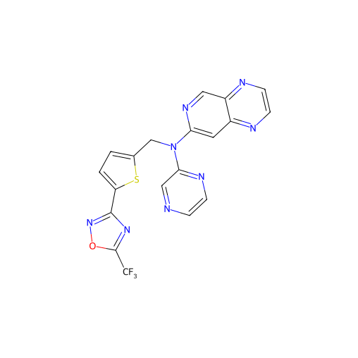 FC(F)(F)c1nc(-c2ccc(CN(c3cnccn3)c3cc4nccnc4cn3)s2)no1